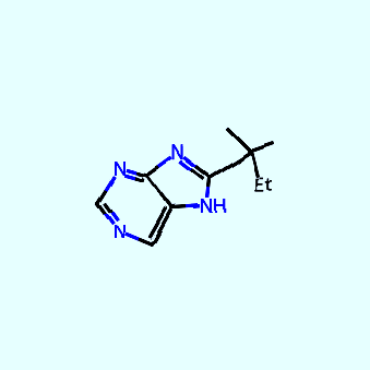 CCC(C)(C)c1nc2ncncc2[nH]1